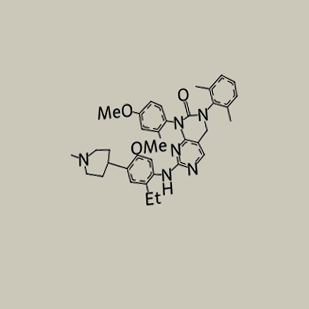 CCc1cc(C2CCN(C)CC2)ccc1Nc1ncc2c(n1)N(c1ccc(OC)cc1OC)C(=O)N(c1c(C)cccc1C)C2